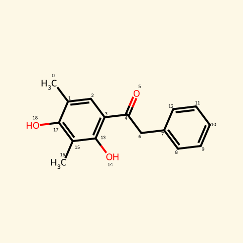 Cc1cc(C(=O)Cc2ccccc2)c(O)c(C)c1O